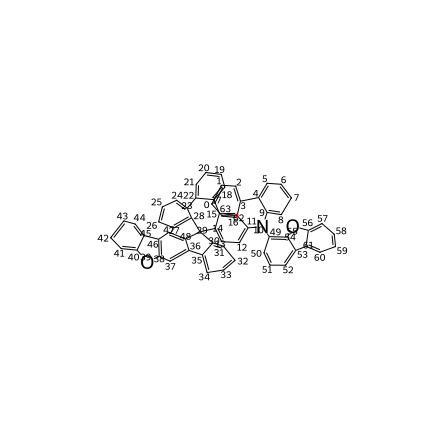 c1ccc(-c2ccccc2N(c2ccc3c(c2)-c2ccccc2-c2ccccc2C32c3ccccc3-c3cc4oc5ccccc5c4cc32)c2cccc3c2oc2ccccc23)cc1